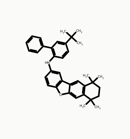 CC(C)(C)c1ccc(Nc2ccc3oc4cc5c(cc4c3c2)C(C)(C)CCC5(C)C)c(-c2ccccc2)c1